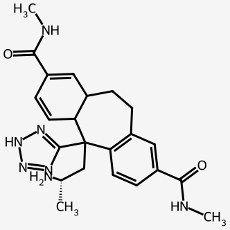 CNC(=O)C1=CC2CCc3cc(C(=O)NC)ccc3C(C[C@H](C)N)(c3nn[nH]n3)C2C=C1